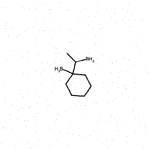 BC(C)C1(B)CCCCC1